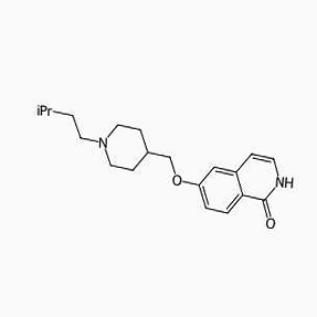 CC(C)CCN1CCC(COc2ccc3c(=O)[nH]ccc3c2)CC1